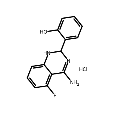 Cl.NC1=NC(c2ccccc2O)Nc2cccc(F)c21